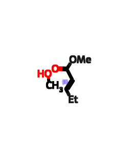 CC/C=C/C(=O)OC.CO